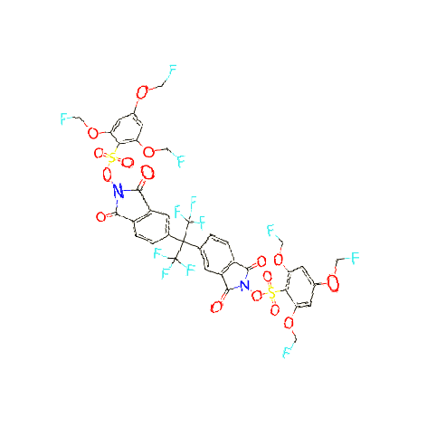 O=C1c2ccc(C(c3ccc4c(c3)C(=O)N(OS(=O)(=O)c3c(OCF)cc(OCF)cc3OCF)C4=O)(C(F)(F)F)C(F)(F)F)cc2C(=O)N1OS(=O)(=O)c1c(OCF)cc(OCF)cc1OCF